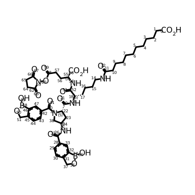 O=C(O)CCCCCCCCCCC(=O)NCCCC[C@H](NC(=O)[C@@H]1C[C@@H](NC(=O)c2ccc3c(c2)B(O)OC3)CN1C(=O)c1ccc2c(c1)B(O)OC2)C(=O)N[C@@H](CCC(=O)ON1C(=O)CCC1=O)C(=O)O